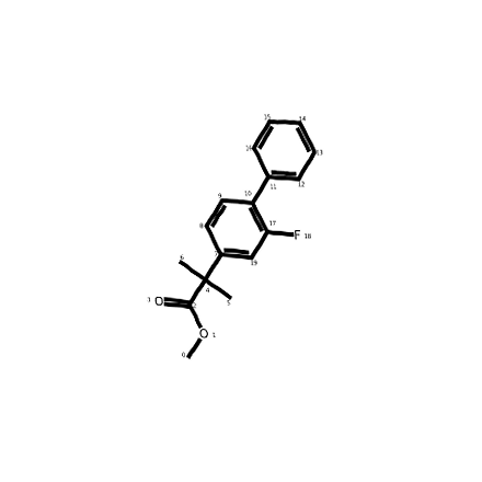 COC(=O)C(C)(C)c1ccc(-c2ccccc2)c(F)c1